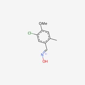 COc1cc(C)c(/C=N/O)cc1Cl